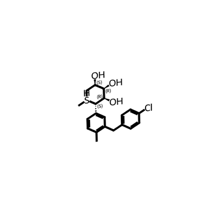 Cc1ccc([C@H]2[C@H](O)[C@H](O)[C@H](O)C[SH]2C)cc1Cc1ccc(Cl)cc1